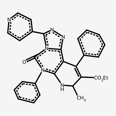 CCOC(=O)C1=C(c2ccccc2)c2c(n(-c3ccccc3)c(=O)n3c(-c4ccncc4)nnc23)NC1C